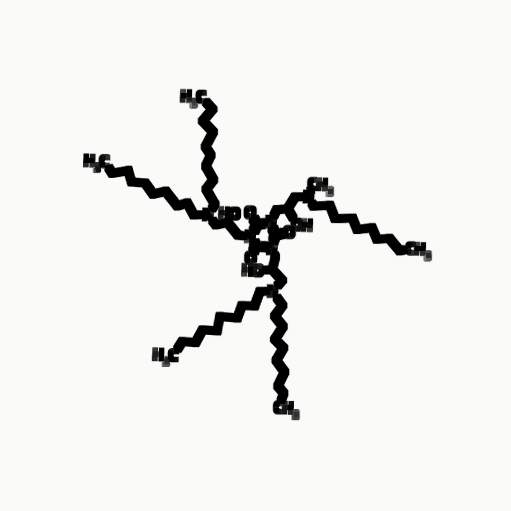 CCCCCCCCCCN(C)CC(O)Cn1c(=O)n(CC(O)CN(CCCCCCCCCC)CCCCCCCCCC)c(=O)n(CC(O)CN(CCCCCCCCCC)CCCCCCCCCC)c1=O